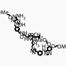 COCCOc1nc(N)c2nc(O)n(Cc3ccc(CNC(=O)CCC(=O)NC(CCCCn4cc(-c5cccc(Nc6ncnc7cc(OCCOC)c(OCCOC)cc67)c5)nn4)C(=O)C(C)(C)C4CC4)cc3)c2n1